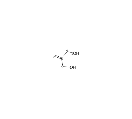 C=C([CH]O)CO